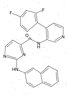 O=C(Nc1cnccc1-c1ccc(F)cc1F)c1ccnc(Nc2ccc3ccccc3c2)n1